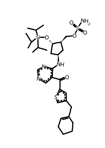 CC(C)[Si](O[C@H]1C[C@H](Nc2ncncc2C(=O)c2cc(CC3=CCCCC3)cs2)C[C@@H]1COS(N)(=O)=O)(C(C)C)C(C)C